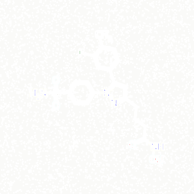 Cc1ccc(-c2cc(CCCC(=O)NO)nn2-c2ccc(S(N)(=O)=O)cc2)cc1F